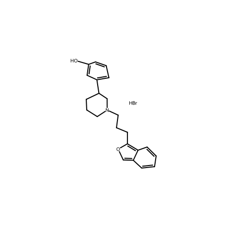 Br.Oc1cccc(C2CCCN(CCCc3occ4ccccc34)C2)c1